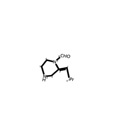 CC(C)/C=C1\CNCCN1C=O